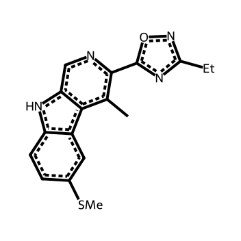 CCc1noc(-c2ncc3[nH]c4ccc(SC)cc4c3c2C)n1